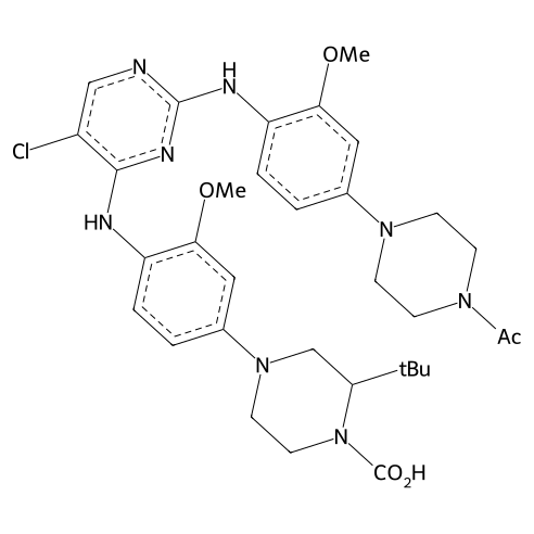 COc1cc(N2CCN(C(C)=O)CC2)ccc1Nc1ncc(Cl)c(Nc2ccc(N3CCN(C(=O)O)C(C(C)(C)C)C3)cc2OC)n1